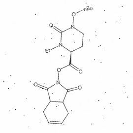 CCCCON1CC[C@@H](C(=O)ON2C(=O)C3CC=CCC3C2=O)N(CC)C1=O